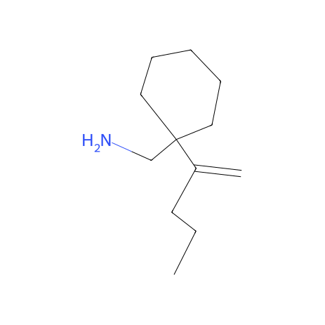 C=C(CCC)C1(CN)CCCCC1